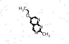 CCOc1cnc2nc(C)ncc2c1